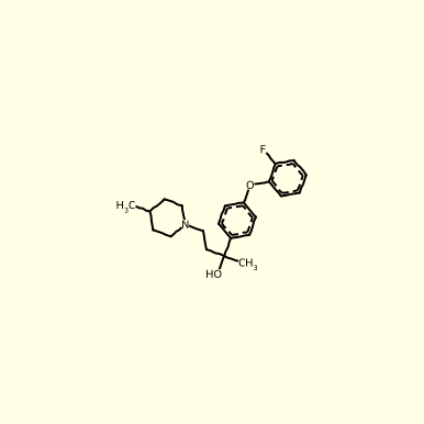 CC1CCN(CCC(C)(O)c2ccc(Oc3ccccc3F)cc2)CC1